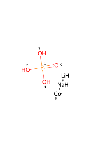 O=P(O)(O)O.[Co].[LiH].[NaH]